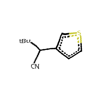 CC(C)(C)C(C#N)c1ccsc1